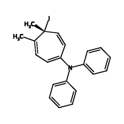 CC1=CC=C(N(c2ccccc2)c2ccccc2)C=C[C@@]1(C)I